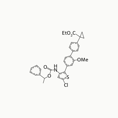 CCOC(=O)C1(c2ccc(-c3ccc(-c4sc(Cl)cc4NC(=O)OC(C)c4ccccc4)cc3OC)cc2)CC1